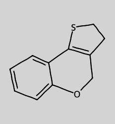 c1ccc2c(c1)OCC1=C2SCC1